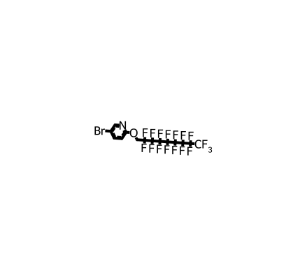 FC(F)(F)C(F)(F)C(F)(F)C(F)(F)C(F)(F)C(F)(F)C(F)(F)C(F)(F)COc1ccc(Br)cn1